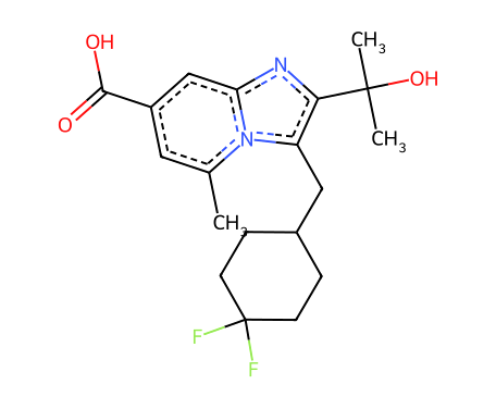 Cc1cc(C(=O)O)cc2nc(C(C)(C)O)c(CC3CCC(F)(F)CC3)n12